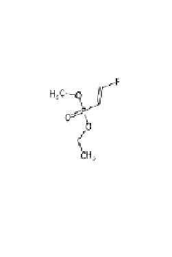 CCOP(=O)(C=CF)OC